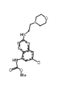 CC(C)(C)OC(=O)Nc1cc(Cl)cc2nc(NCCN3CCOCC3)nnc12